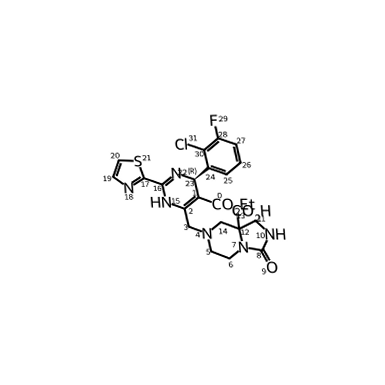 CCOC(=O)C1=C(CN2CCN3C(=O)NCC3(C(=O)O)C2)NC(c2nccs2)=N[C@H]1c1cccc(F)c1Cl